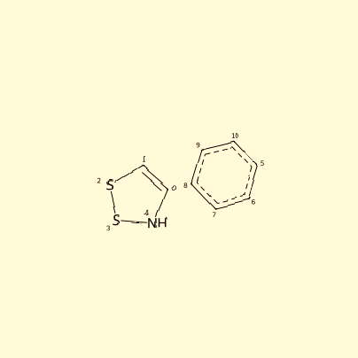 C1=CSSN1.c1ccccc1